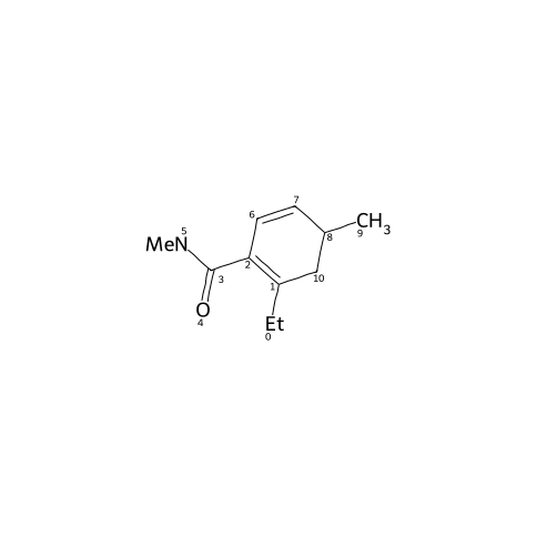 CCC1=C(C(=O)NC)C=CC(C)C1